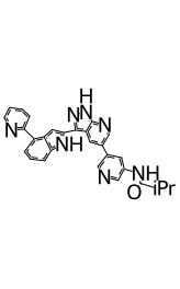 CC(C)C(=O)Nc1cncc(-c2cnc3[nH]nc(-c4cc5c(-c6ccccn6)cccc5[nH]4)c3c2)c1